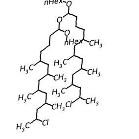 CCCCCCOC(CCCC(C)CC(C)CC(C)CC(C)CC(C)Cl)OC(CCCC(C)CC(C)CC(C)CC(C)CC(C)Cl)OCCCCCC